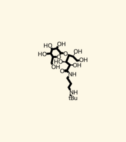 CC(C)(C)NCCCNC(=O)[C@H](O)[C@@H](O)[C@H](OC1OC(CO)C(O)C(O)C1O)[C@H](O)CO